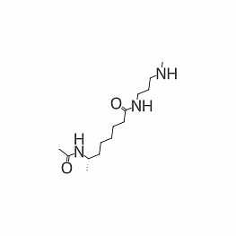 CNCCCNC(=O)CCCCC[C@H](C)NC(C)=O